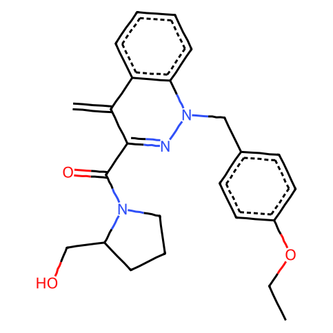 C=C1C(C(=O)N2CCCC2CO)=NN(Cc2ccc(OCC)cc2)c2ccccc21